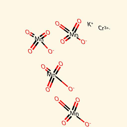 [Cr+3].[K+].[O]=[Mn](=[O])(=[O])[O-].[O]=[Mn](=[O])(=[O])[O-].[O]=[Mn](=[O])(=[O])[O-].[O]=[Mn](=[O])(=[O])[O-]